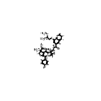 CO[C@H](C)COc1cc(C(=O)NC[C@](O)(c2cc3c(c(-c4ccc(F)cc4)n2)OC[C@]3(C)C(N)=O)C(F)(F)F)cc2cccnc12